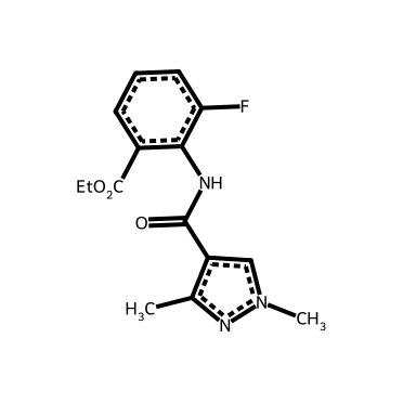 CCOC(=O)c1cccc(F)c1NC(=O)c1cn(C)nc1C